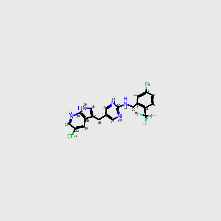 Fc1ccc(C(F)(F)F)c(CNc2ncc(Cc3c[nH]c4ncc(Cl)cc34)cn2)c1